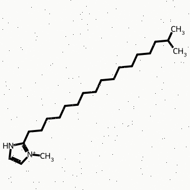 CC(C)CCCCCCCCCCCCCCCc1[nH]cc[n+]1C